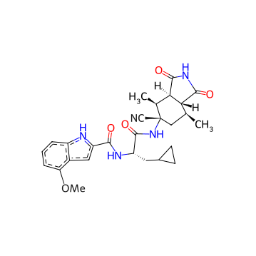 COc1cccc2[nH]c(C(=O)N[C@@H](CC3CC3)C(=O)N[C@@]3(C#N)C[C@H](C)[C@H]4C(=O)NC(=O)[C@@H]4[C@@H]3C)cc12